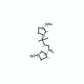 CN[C@H]1CCN(C(C)(C)CCN(C)[C@@H]2CCN(C(C)(C)C)C2)C1